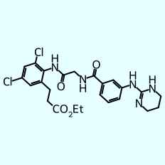 CCOC(=O)CCc1cc(Cl)cc(Cl)c1NC(=O)CNC(=O)c1cccc(NC2=NCCCN2)c1